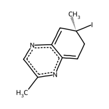 Cc1cnc2c(n1)=CC[C@](C)(I)C=2